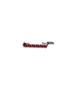 CO[Si](CCCOCC(F)(F)OC(F)(F)C(F)(F)OC(F)(F)C(F)(F)OC(F)(F)C(F)(F)OC(F)(F)C(F)(F)OC(F)(F)C(F)(F)OC(F)(F)C(F)(F)OC(F)(F)C(F)(F)OC(F)(F)C(F)(F)OC(F)(F)C(F)(F)OC(F)(F)C(F)(F)OC(F)(F)OC(F)(F)OC(F)(F)CO)(OC)OC